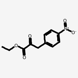 CCOC(=O)C(=O)Cc1ccc([N+](=O)[O-])cc1